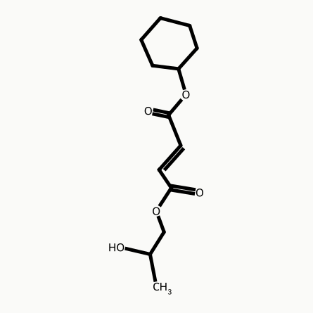 CC(O)COC(=O)C=CC(=O)OC1CCCCC1